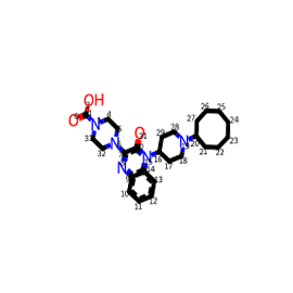 O=C(O)N1CCN(c2nc3ccccc3n(C3CCN(C4CCCCCCC4)CC3)c2=O)CC1